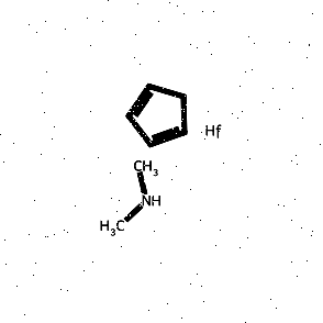 C1=CCC=C1.CNC.[Hf]